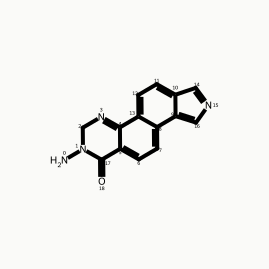 NN1CN=c2c(ccc3c4c(ccc23)C=NC=4)C1=O